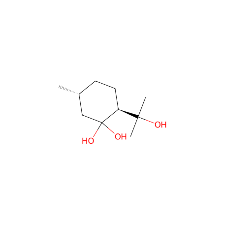 C[C@@H]1CC[C@@H](C(C)(C)O)C(O)(O)C1